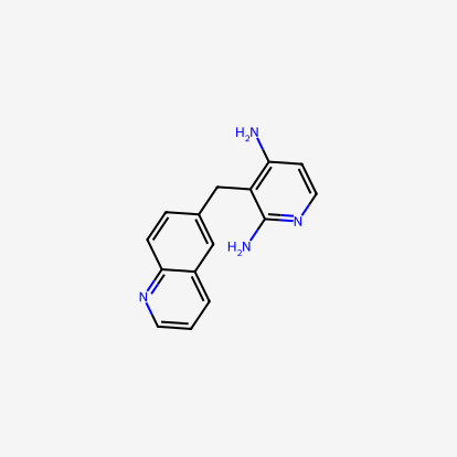 Nc1ccnc(N)c1Cc1ccc2ncccc2c1